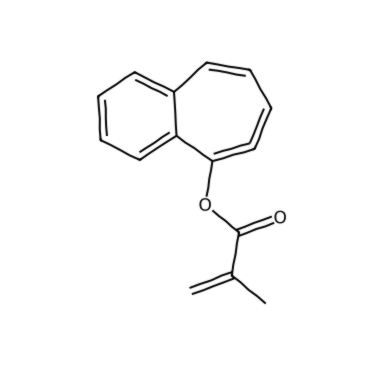 C=C(C)C(=O)OC1=C=CC=Cc2ccccc21